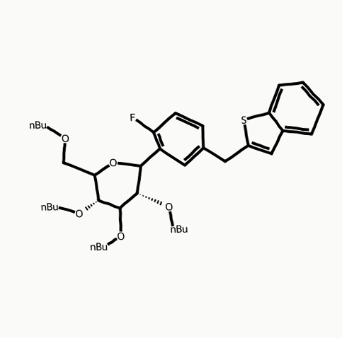 CCCCOCC1OC(c2cc(Cc3cc4ccccc4s3)ccc2F)[C@H](OCCCC)C(OCCCC)[C@@H]1OCCCC